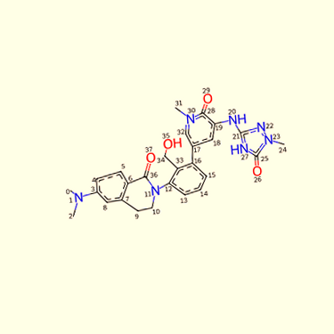 CN(C)c1ccc2c(c1)CCN(c1cccc(-c3cc(Nc4nn(C)c(=O)[nH]4)c(=O)n(C)c3)c1CO)C2=O